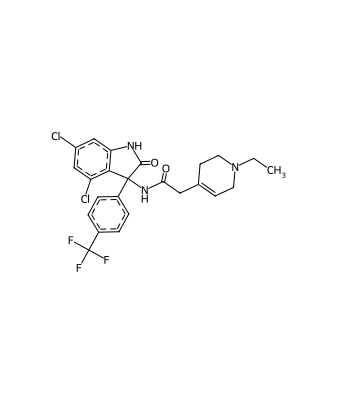 CCN1CC=C(CC(=O)NC2(c3ccc(C(F)(F)F)cc3)C(=O)Nc3cc(Cl)cc(Cl)c32)CC1